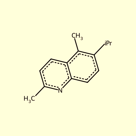 Cc1ccc2c(C)c(C(C)C)ccc2n1